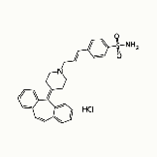 Cl.NS(=O)(=O)c1ccc(/C=C/CN2CCC(=C3c4ccccc4C=Cc4ccccc43)CC2)cc1